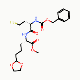 COC(=O)[C@H](CCCC1OCCO1)NC(=O)[C@H](CCS)NC(=O)OCc1ccccc1